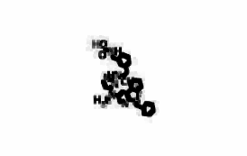 C[C@@H](Cc1cccc(CNC(=O)O)c1)Nc1nccc(N(C)c2cnc(OCc3ccccc3)c(-c3ccccc3F)c2)n1